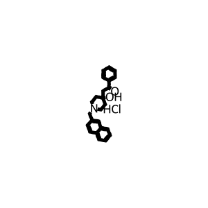 Cl.O=C(CC1(O)CCN(Cc2ccc3ccccc3c2)CC1)c1ccccc1